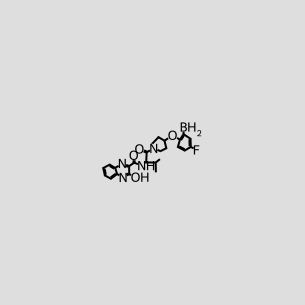 Bc1cc(F)ccc1OC1CCN(C(=O)[C@@H](NC(=O)c2nc3ccccc3nc2O)C(C)C)CC1